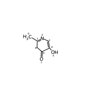 CC1=NC=C(O)C(=O)C1